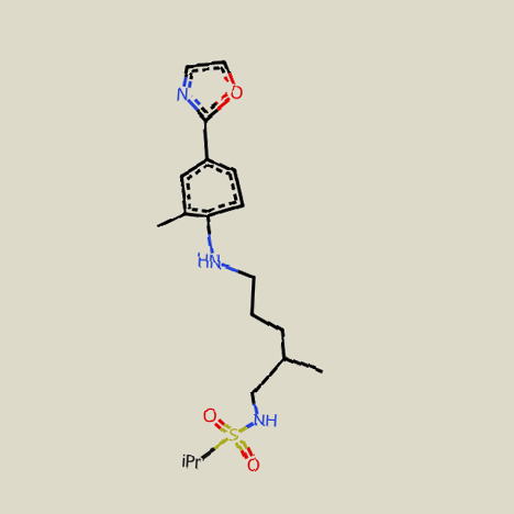 Cc1cc(-c2ncco2)ccc1NCCCC(C)CNS(=O)(=O)C(C)C